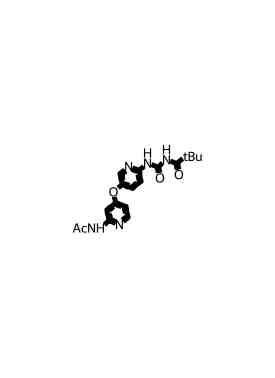 CC(=O)Nc1cc(Oc2ccc(NC(=O)NC(=O)C(C)(C)C)nc2)ccn1